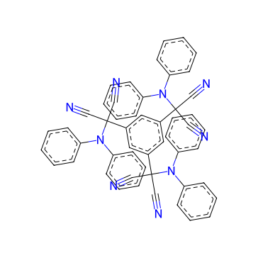 N#CC(C#N)(c1cc(C(C#N)(C#N)N(c2ccccc2)c2ccccc2)cc(C(C#N)(C#N)N(c2ccccc2)c2ccccc2)c1)N(c1ccccc1)c1ccccc1